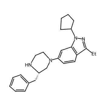 CCc1nn(C2CCCC2)c2cc(N3CCN[C@@H](Cc4ccccc4)C3)ccc12